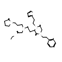 CCOC(=O)CN(CCCN1CCCC1=O)C(=O)CC1C(=O)N(CCc2ccc(Cl)cc2Cl)CC(=O)N1CCc1cccs1